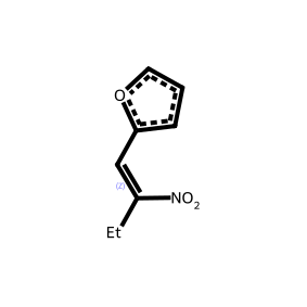 CC/C(=C/c1ccco1)[N+](=O)[O-]